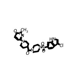 Cn1nc(N2CCC(C(=O)N3CCN(S(=O)(=O)c4ccc5c(Cl)c[nH]c5c4)CC3)CC2)ccc1=O